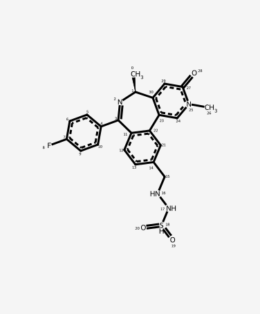 C[C@@H]1N=C(c2ccc(F)cc2)c2ccc(CNN[SH](=O)=O)cc2-c2cn(C)c(=O)cc21